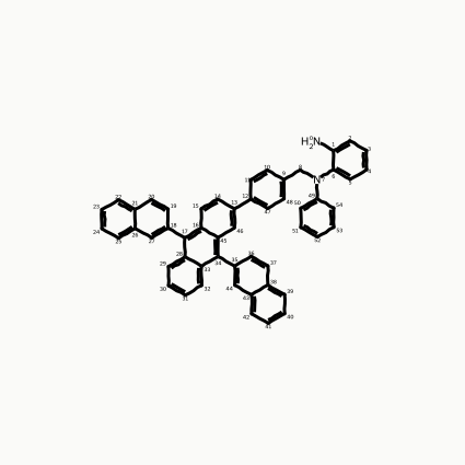 Nc1ccccc1N(Cc1ccc(-c2ccc3c(-c4ccc5ccccc5c4)c4ccccc4c(-c4ccc5ccccc5c4)c3c2)cc1)c1ccccc1